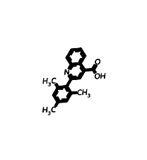 Cc1cc(C)c(-c2cc(C(=O)O)c3ccccc3n2)c(C)c1